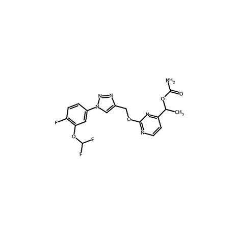 CC(OC(N)=O)c1ccnc(OCc2cn(-c3ccc(F)c(OC(F)F)c3)nn2)n1